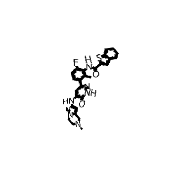 Cc1c(-c2cc(Nc3cc4n(n3)CCN(C)C4)c(=O)[nH]n2)ccc(F)c1NC(=O)c1cc2ccccc2s1